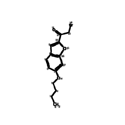 CCCCOc1ccc2cc(C(=O)CBr)oc2c1